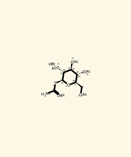 Br.CC(=O)OC[C@H]1O[C@@H](SC(=N)N)[C@H](OC(C)=O)[C@@H](OC(C)=O)[C@@H]1OC(C)=O